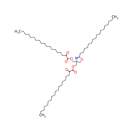 CCCCCCCCCCCCCCCCCC(=O)C(=O)OCC1(COC(=O)C(=O)CCCCCCCCCCCCCCCCC)COC(CCCCCCCCCCCCCCCCC)=N1